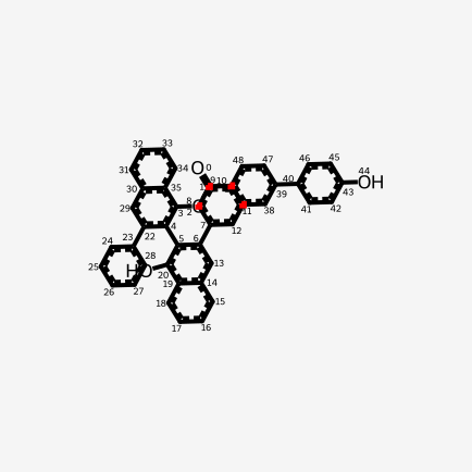 O=C(Oc1c(-c2c(-c3ccccc3)cc3ccccc3c2O)c(-c2ccccc2)cc2ccccc12)c1ccc(-c2ccc(O)cc2)cc1